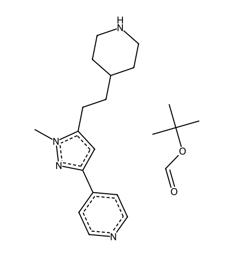 CC(C)(C)OC=O.Cn1nc(-c2ccncc2)cc1CCC1CCNCC1